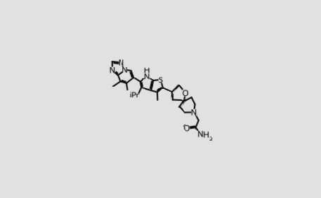 Cc1c(-c2[nH]c3sc(C4COC5(CCN(CC(N)=O)CC5)C4)c(C)c3c2C(C)C)cn2ncnc2c1C